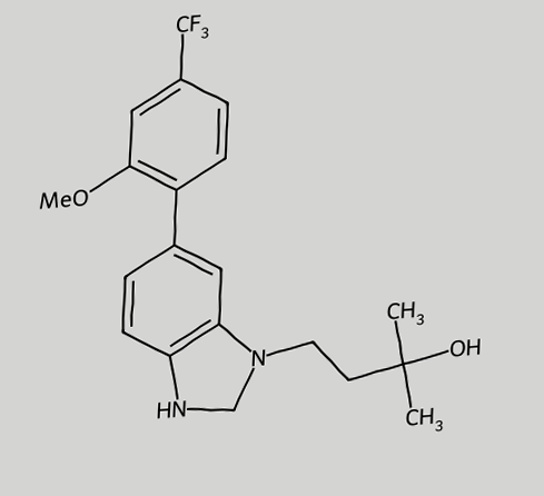 COc1cc(C(F)(F)F)ccc1-c1ccc2c(c1)N(CCC(C)(C)O)CN2